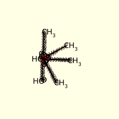 CCCCCCCCCCCCCCCCCC(=O)OCC(COC(=O)CCCCCCCCCCCCCCCCC)C(CCCCCCC=CCCCCCCCC(=O)O)(C(=O)O)C(COC(=O)CCCCCCCCCCCCCCCCC)COC(=O)CCCCCCCCCCCCCCCCC